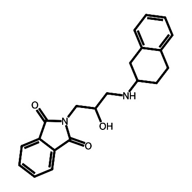 O=C1c2ccccc2C(=O)N1CC(O)CNC1CCc2ccccc2C1